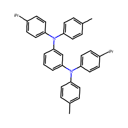 Cc1ccc(N(c2ccc(C(C)C)cc2)c2cccc(N(c3ccc(C)cc3)c3ccc(C(C)C)cc3)c2)cc1